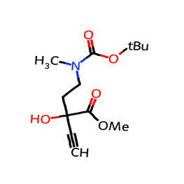 C#CC(O)(CCN(C)C(=O)OC(C)(C)C)C(=O)OC